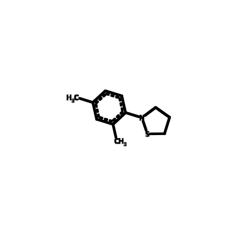 Cc1ccc(N2CCCS2)c(C)c1